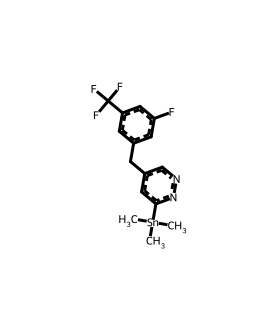 [CH3][Sn]([CH3])([CH3])[c]1cc(Cc2cc(F)cc(C(F)(F)F)c2)cnn1